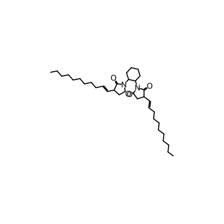 CCCCCCCCC/C=C/C1CC(=O)N(C2CCCCC2N2C(=O)CC(/C=C/CCCCCCCCC)C2=O)C1=O